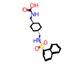 O=C(O)NC[C@H]1CC[C@H](CNS(=O)(=O)c2cccc3ccccc23)CC1